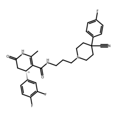 CC1=C(C(=O)NCCCN2CCC(C#N)(c3ccc(F)cc3)CC2)[C@H](c2ccc(F)c(F)c2)CC(=O)N1